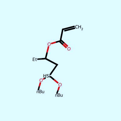 C=CC(=O)OC(CC)C[SiH](OCCCC)OCCCC